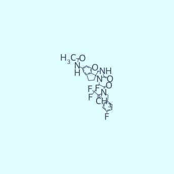 CC(=O)Nc1ccc2c(c1)CCC21C(=O)NC(=O)N1CC(=O)N(Cc1ccc(F)cc1)[C@@H](C)C(F)(F)F